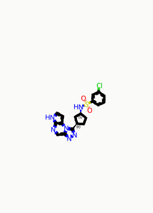 O=S(=O)(N[C@H]1CC[C@@H](c2nnc3cnc4[nH]ccc4n23)C1)c1cccc(Cl)c1